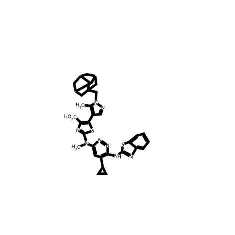 Cc1c(-c2sc(N(C)c3cc(C4CC4)c(Nc4nc5ccccc5s4)nn3)nc2C(=O)O)cnn1CC12CC3CC(CC(C3)C1)C2